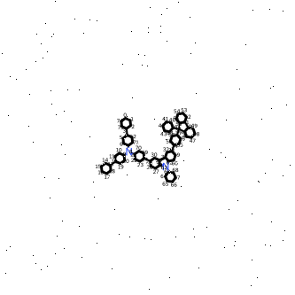 c1ccc(-c2ccc(N(c3ccc(-c4ccccc4)cc3)c3ccc(-c4ccc5c(c4)c4cc(-c6ccc(C7(c8ccccc8)c8ccccc8-c8ccccc87)cc6)ccc4n5-c4ccccc4)cc3)cc2)cc1